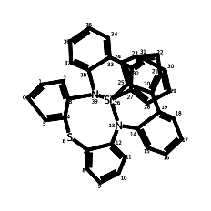 c1ccc2c(c1)Sc1ccccc1N1c3ccccc3-c3ccccc3[Si]13c1ccccc1-c1ccccc1N23